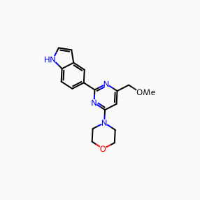 COCc1cc(N2CCOCC2)nc(-c2ccc3[nH]ccc3c2)n1